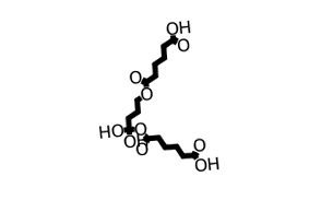 O=C(O)CCCCC(=O)OCCCC(O)(O)OC(=O)CCCCC(=O)O